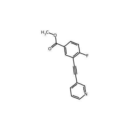 COC(=O)c1ccc(F)c(C#Cc2cccnc2)c1